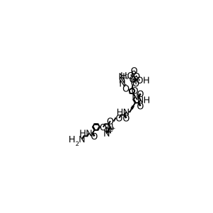 [N-]=[N+]=NCOC1CC(n2cc(C#CCNC(=O)COCCOC(COc3cccc(C(=O)NCCN)c3)N=[N+]=[N-])c(=O)[nH]c2=O)OC1COP(=O)(O)O[PH](=O)O